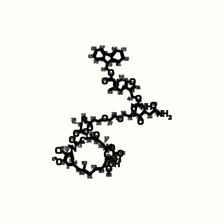 COc1cc2cc(c1Cl)N(C)C(=O)C[C@H](OC(=O)[C@H](C)N(C)C(=O)CCOCCOCCNC(=O)[C@H](CC(N)=O)NC(=O)OCc1cocc1CN(C)N(C)C(=O)OCC1c3ccccc3-c3ccccc31)[C@]1(C)OC1[C@H](C)[C@@H]1C[C@@](O)(NC(=O)O1)[C@H](OC)/C=C/C=C(\C)C2